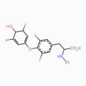 CCNC(Cc1cc(I)c(OC2=CC(I)C(O)C(I)=C2)c(I)c1)C(=O)O